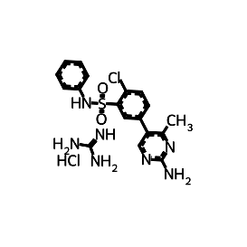 Cc1nc(N)ncc1-c1ccc(Cl)c(S(=O)(=O)Nc2ccccc2)c1.Cl.N=C(N)N